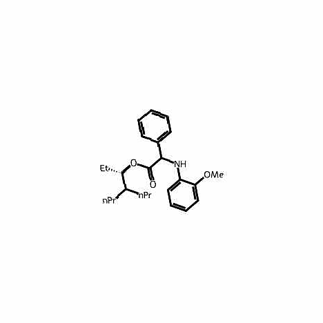 CCCC(CCC)[C@H](CC)OC(=O)C(Nc1ccccc1OC)c1ccccc1